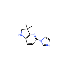 CC1(C)CNc2ccc(-n3ccnc3)nc21